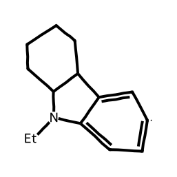 CCN1c2cc[c]cc2C2CCCCC21